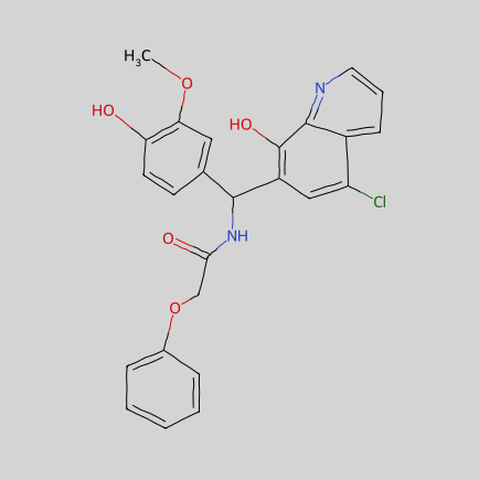 COc1cc(C(NC(=O)COc2ccccc2)c2cc(Cl)c3cccnc3c2O)ccc1O